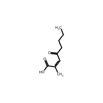 CCCCC(=O)C=C(C)C(=O)O